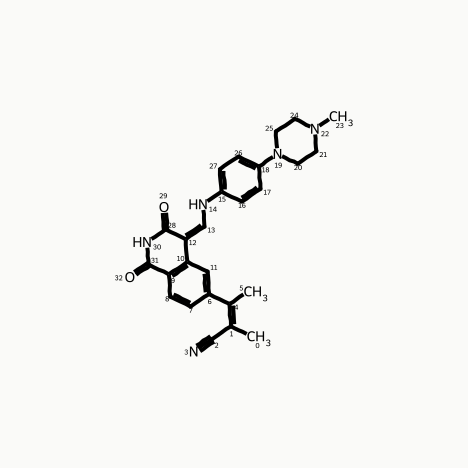 C/C(C#N)=C(\C)c1ccc2c(c1)/C(=C/Nc1ccc(N3CCN(C)CC3)cc1)C(=O)NC2=O